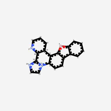 c1ccc2c(c1)oc1c2ccc2c1c1cccnc1c1nccn21